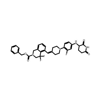 O=C1CCC(Nc2ccc(N3CCC(=Cc4cccc5c4C(F)(F)CN(C(=O)OCc4ccccc4)C5)CC3)c(F)c2)C(=O)N1